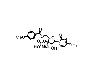 COc1ccc(C(=O)OC[C@H]2O[C@@H](n3ccc(N)nc3=O)[C@H](O)[C@]2(O)OP(=O)(O)O)cc1